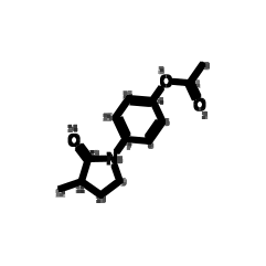 CC(=O)Oc1ccc(N2CCC(C)C2=O)cc1